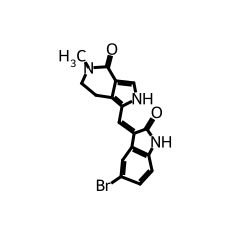 CN1CCc2c(c[nH]c2/C=C2\C(=O)Nc3ccc(Br)cc32)C1=O